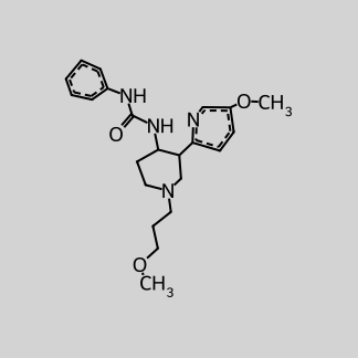 COCCCN1CCC(NC(=O)Nc2ccccc2)C(c2ccc(OC)cn2)C1